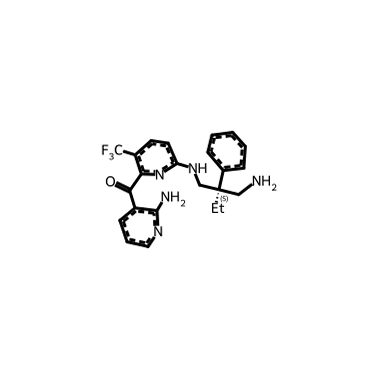 CC[C@](CN)(CNc1ccc(C(F)(F)F)c(C(=O)c2cccnc2N)n1)c1ccccc1